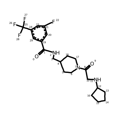 O=C(NCC1CCN(C(=O)CNC2CCCC2)CC1)c1cc(F)cc(C(F)(F)F)c1